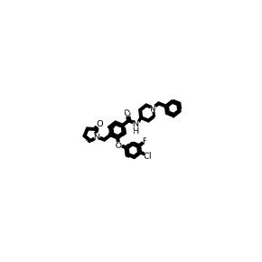 O=C(NC1CCN(Cc2ccccc2)CC1)c1ccc(CN2CCCC2=O)c(Oc2ccc(Cl)c(F)c2)c1